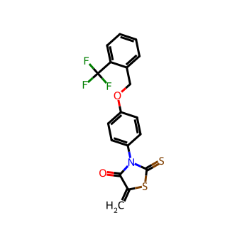 C=C1SC(=S)N(c2ccc(OCc3ccccc3C(F)(F)F)cc2)C1=O